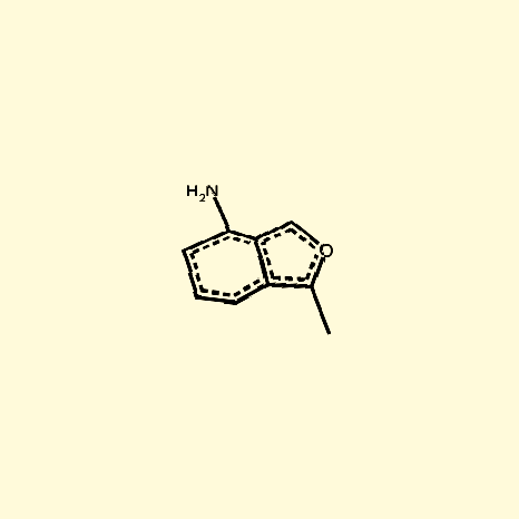 Cc1occ2c(N)cccc12